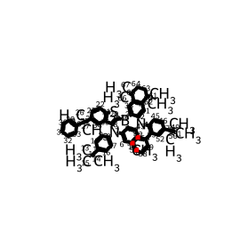 Cc1cc2c3c(c1)N(c1ccc(C(C)(C)C)cc1)c1c(sc4ccc(C(C)(C)c5ccccc5)cc14)B3c1cc3c(cc1N2c1ccc(C(C)(C)C)cc1-c1ccccc1)C(C)(C)CCC3(C)C